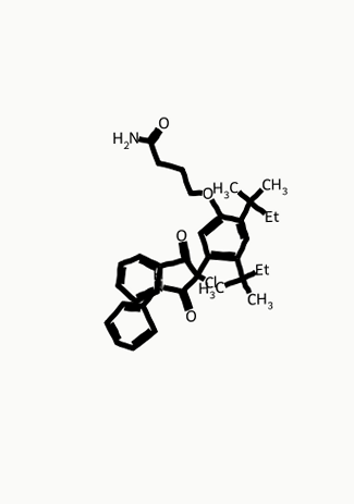 CCC(C)(C)c1cc(C(C)(C)CC)c(C(Cl)(C(=O)Nc2ccccc2)C(=O)c2ccccc2)cc1OCCCC(N)=O